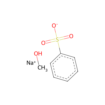 CO.O=S(=O)([O-])c1ccccc1.[Na+]